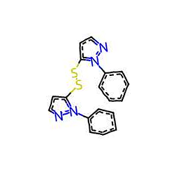 c1ccc(-n2nccc2SSc2ccnn2-c2ccccc2)cc1